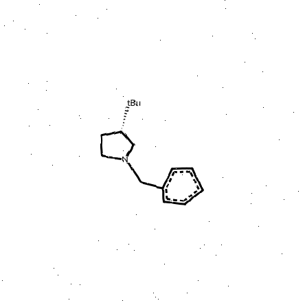 CC(C)(C)[C@H]1CCN(Cc2ccccc2)C1